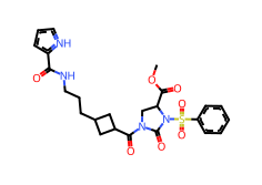 COC(=O)C1CN(C(=O)C2CC(CCCNC(=O)c3ccc[nH]3)C2)C(=O)N1S(=O)(=O)c1ccccc1